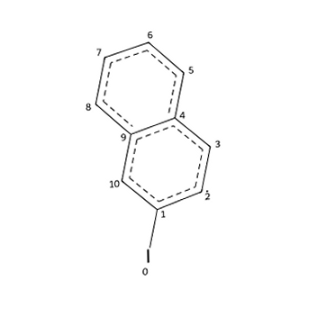 Ic1[c]cc2ccccc2c1